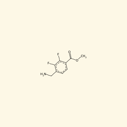 COC(=O)c1ccc(CN)c(F)c1F